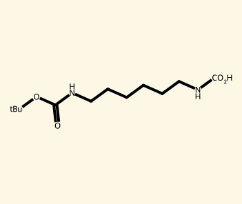 CC(C)(C)OC(=O)NCCCCCCNC(=O)O